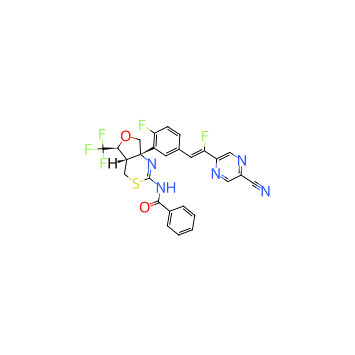 N#Cc1cnc(/C(F)=C/c2ccc(F)c([C@]34CO[C@H](C(F)(F)F)[C@H]3CSC(NC(=O)c3ccccc3)=N4)c2)cn1